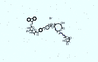 CC[C@H](O)[C@@H](C)[C@@H]1O[C@H]1CC(C)(O)/C=C/C=C(\C)[C@H]1OC(=O)C[C@H](O)CC[C@@](C)(OC)[C@@H](OC(=O)N2CC[N+](C)(Cc3ccc(NC(=O)C(C)NC(=O)C(NC(=O)OCC4c5ccccc5-c5ccccc54)C(C)C)cc3)CC2)/C=C/[C@@H]1C.[Br-]